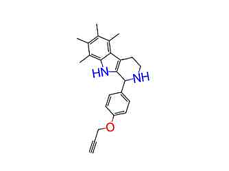 C#CCOc1ccc(C2NCCc3c2[nH]c2c(C)c(C)c(C)c(C)c32)cc1